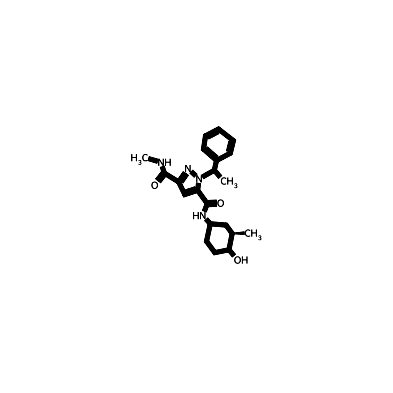 CNC(=O)c1cc(C(=O)NC2CCC(O)[C@H](C)C2)n(C(C)c2ccccc2)n1